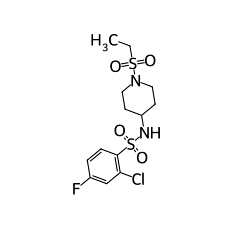 CCS(=O)(=O)N1CCC(NS(=O)(=O)c2ccc(F)cc2Cl)CC1